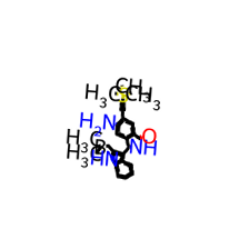 CB(C)Cc1[nH]c2ccccc2c1C1NC(=O)c2cc(C#CS(C)(C)C)c(N)cc21